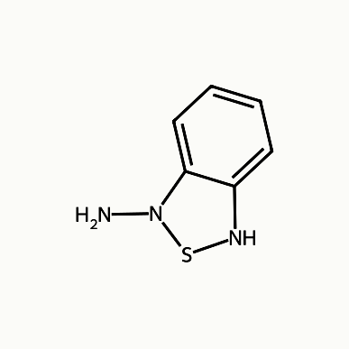 NN1SNc2ccccc21